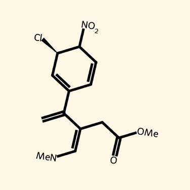 C=C(C1=C[C@@H](Cl)C([N+](=O)[O-])C=C1)/C(=C\NC)CC(=O)OC